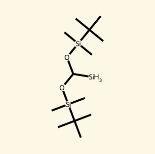 CC(C)(C)[Si](C)(C)OC([SiH3])O[Si](C)(C)C(C)(C)C